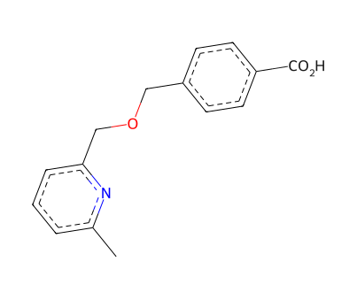 Cc1cccc(COCc2ccc(C(=O)O)cc2)n1